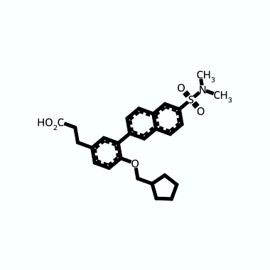 CN(C)S(=O)(=O)c1ccc2cc(-c3cc(CCC(=O)O)ccc3OCC3CCCC3)ccc2c1